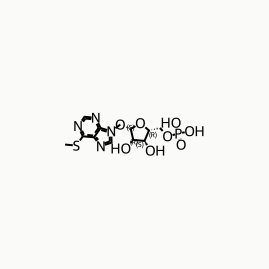 CSc1ncnc2c1ncn2O[C@@H]1O[C@H](COP(=O)(O)O)[C@@H](O)[C@H]1O